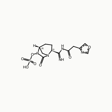 N=C(NC(=O)Cc1cocn1)[C@@H]1CC[C@@H]2CN1C(=O)N2OS(=O)(=O)O